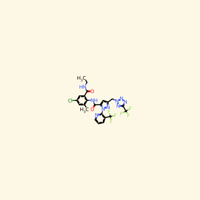 CCNC(=O)c1cc(Cl)cc(C)c1NC(=O)c1cc(Cn2nnc(C(F)(F)F)n2)nn1-c1ncccc1C(F)(F)F